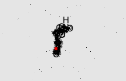 O=C1CCC(N2C(=O)c3cccc(OCc4ccc(CN5CC6COCC5C6)cc4)c3C2=O)C(=O)N1